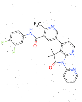 CC1(C)C(=O)N(c2ccccn2)c2nccc(-c3cnc(C(F)(F)F)c(C(=O)Nc4ccc(F)c(F)c4)c3)c21